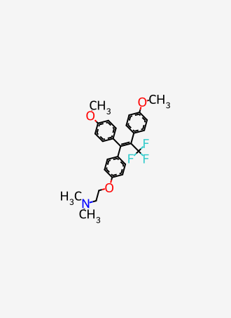 COc1ccc(/C(=C(\c2ccc(OC)cc2)C(F)(F)F)c2ccc(OCCN(C)C)cc2)cc1